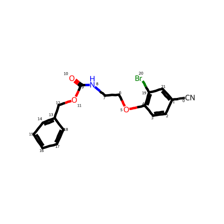 N#Cc1ccc(OCCNC(=O)OCc2ccccc2)c(Br)c1